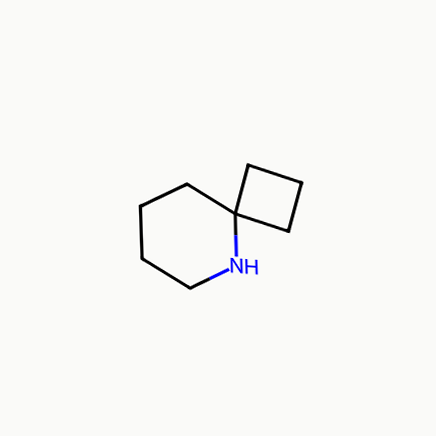 C1CCC2(CCC2)NC1